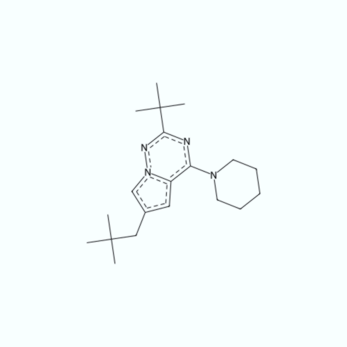 CC(C)(C)Cc1cc2c(N3CCCCC3)nc(C(C)(C)C)nn2c1